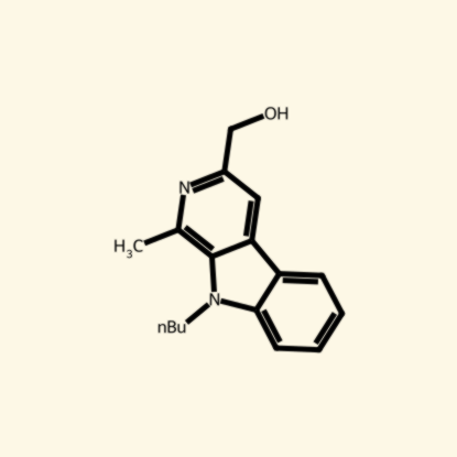 CCCCn1c2ccccc2c2cc(CO)nc(C)c21